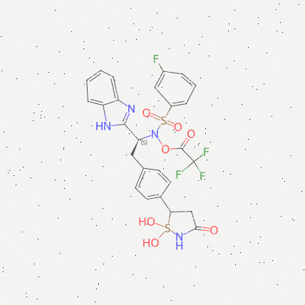 O=C1CC(c2ccc(C[C@@H](c3nc4ccccc4[nH]3)N(OC(=O)C(F)(F)F)S(=O)(=O)c3cccc(F)c3)cc2)S(O)(O)N1